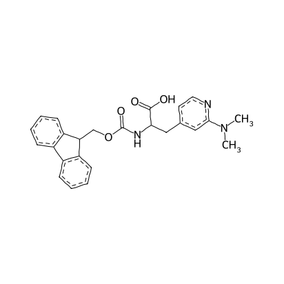 CN(C)c1cc(CC(NC(=O)OCC2c3ccccc3-c3ccccc32)C(=O)O)ccn1